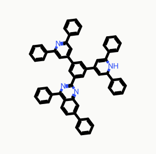 C1=C(c2cc(-c3cc(-c4ccccc4)nc(-c4ccccc4)c3)cc(-c3nc(-c4ccccc4)c4ccc(-c5ccccc5)cc4n3)c2)C=C(c2ccccc2)NC1c1ccccc1